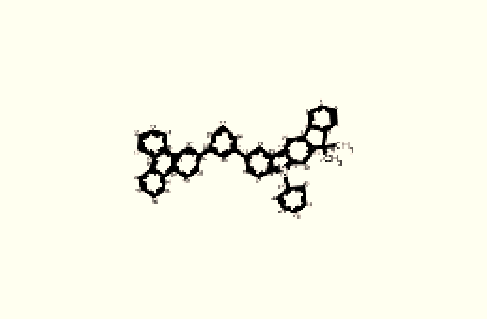 CC1(C)c2c#cccc2-c2cc3c4cc(-c5cccc(-c6ccc7c8ccccc8c8ccccc8c7c6)c5)ccc4n(-c4ccccc4)c3cc21